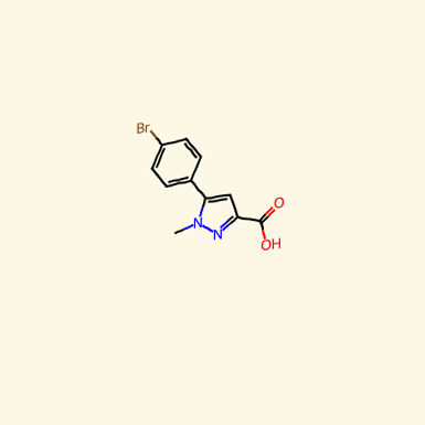 Cn1nc(C(=O)O)cc1-c1ccc(Br)cc1